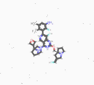 Cc1cc(N)c(F)c(-c2ncc3c(N4CC5CCC(C6COC6)(C4)N5)nc(OC[C@@]45CCCN4C/C(=C/F)C5)nc3c2F)c1C(F)(F)F